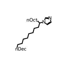 CCCCCCCCCCCCCCCCCCC(CCCCCCCC)n1ccnc1